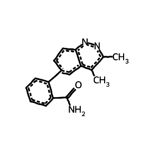 Cc1nnc2ccc(-c3ccccc3C(N)=O)cc2c1C